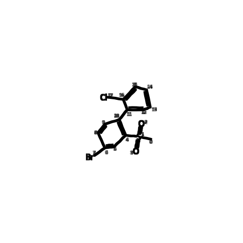 CS(=O)(=O)c1cc(Br)ccc1-c1ccccc1Cl